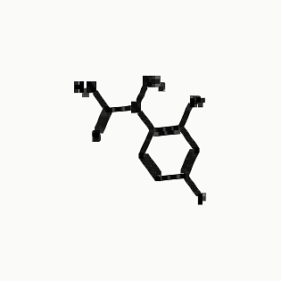 CC(C)c1cc(F)ccc1N(N)C(N)=S